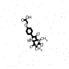 Cn1c(=O)c2[nH]c(-c3ccc(OCC(=O)O)cc3)c(Cl)c2n(C)c1=O